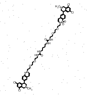 CN1Cc2c(Cl)cc(Cl)cc2C(c2ccc3c(c2)C=CN(CCOCCOCCNC(=O)NCCCCNC(=O)NCCOCCOCCN2C=Cc4cc(C5CN(C)Cc6c(Cl)cc(Cl)cc65)ccc4S2(=O)=O)S3)C1